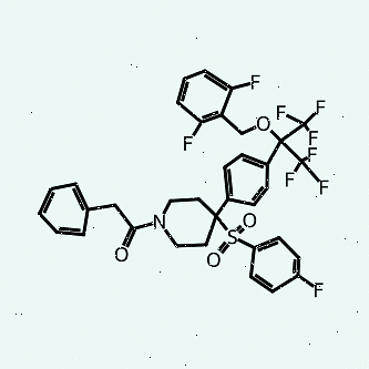 O=C(Cc1ccccc1)N1CCC(c2ccc(C(OCc3c(F)cccc3F)(C(F)(F)F)C(F)(F)F)cc2)(S(=O)(=O)c2ccc(F)cc2)CC1